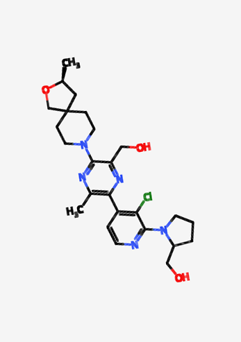 Cc1nc(N2CCC3(CC2)CO[C@@H](C)C3)c(CO)nc1-c1ccnc(N2CCCC2CO)c1Cl